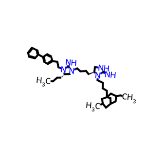 CCCC[C@H]1CN(CCCC[C@H]2CNC(=N)N2CCCCC23CC(C)CC(CC(CC)C2)C3)C(=N)N1CCc1ccc(-c2ccccc2)cc1